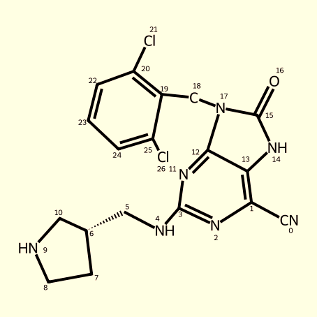 N#Cc1nc(NC[C@@H]2CCNC2)nc2c1[nH]c(=O)n2Cc1c(Cl)cccc1Cl